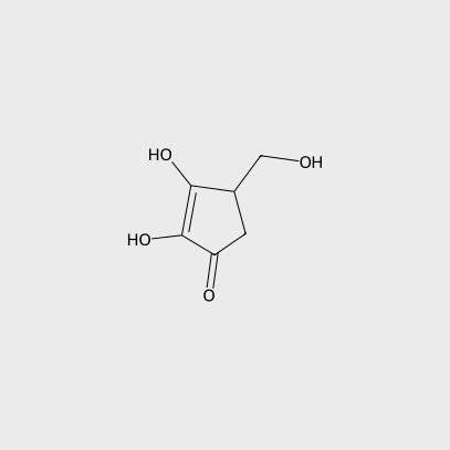 O=C1CC(CO)C(O)=C1O